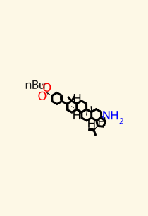 C=C(C)[C@@H]1CC[C@]2(N)CC[C@]3(C)[C@H](CC[C@@H]4[C@@]5(C)CC=C(C6=CC[C@@H](C(=O)OCCCC)CC6)C(C)(C)[C@@H]5CC[C@]43C)[C@@H]12